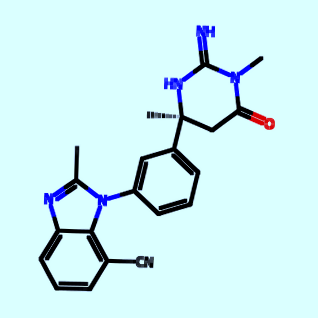 Cc1nc2cccc(C#N)c2n1-c1cccc([C@]2(C)CC(=O)N(C)C(=N)N2)c1